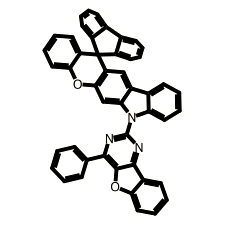 c1ccc(-c2nc(-n3c4ccccc4c4cc5c(cc43)Oc3ccccc3C53c4ccccc4-c4ccccc43)nc3c2oc2ccccc23)cc1